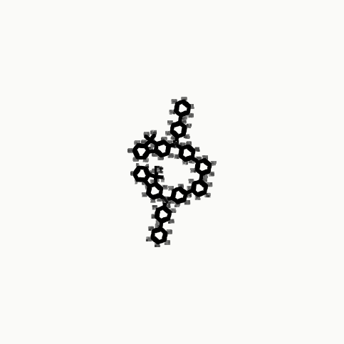 CCC1(C)c2ccccc2-c2ccc(N(c3ccc(-c4ccccc4)cc3)c3ccc(-c4cccc(-c5cccc(-c6ccc(N(c7ccc(-c8ccccc8)cc7)c7ccc8c(c7)C(C)(C)c7ccccc7-8)cc6)c5)c4)cc3)cc21